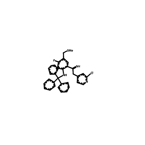 CSCc1cc(C(=N)Cc2ccnc(Cl)c2)c(NC(c2ccccc2)(c2ccccc2)c2ccccc2)cc1F